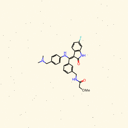 COCC(=O)NCc1cccc(C(Nc2ccc(CN(C)C)cc2)=C2C(=O)Nc3cc(F)ccc32)c1